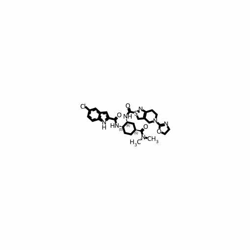 CN(C)C(=O)[C@H]1CC[C@H](NC(=O)c2cc3cc(Cl)ccc3[nH]2)[C@H](NC(=O)S2=NC3=C(CN(C4=NCCO4)CC3)C2)C1